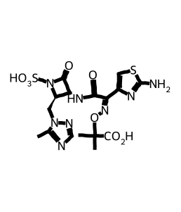 Cc1ncnn1C[C@@H]1[C@H](NC(=O)C(=NOC(C)(C)C(=O)O)c2csc(N)n2)C(=O)N1S(=O)(=O)O